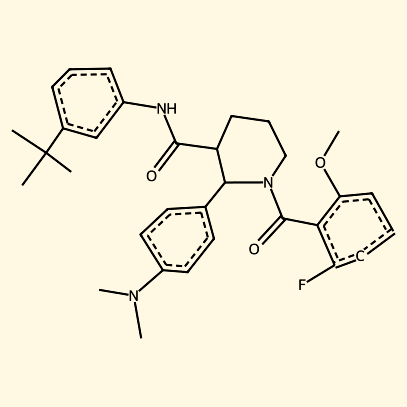 COc1cccc(F)c1C(=O)N1CCCC(C(=O)Nc2cccc(C(C)(C)C)c2)C1c1ccc(N(C)C)cc1